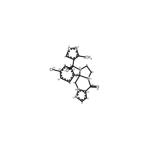 Cc1nocc1C(=O)N1CCN2C(=O)c3ccnn3CC12c1ccc(Cl)cc1